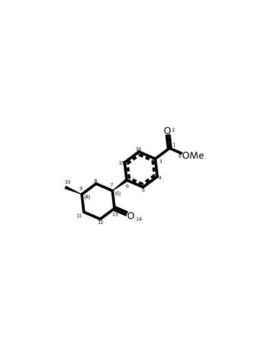 COC(=O)c1ccc([C@@H]2C[C@H](C)CCC2=O)cc1